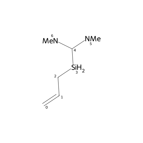 C=CC[SiH2]C(NC)NC